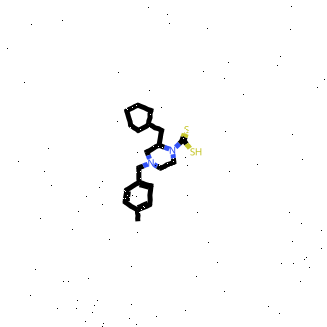 Cc1ccc(CN2CCN(C(=S)S)C(CC3CCCCC3)C2)cc1